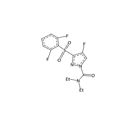 CCN(CC)C(=O)n1cc(F)c(S(=O)(=O)c2c(F)cccc2F)n1